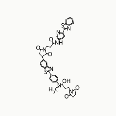 CN(c1ccc(-c2nc3cc(C4CC(=O)N(CCC(=O)Nc5ccc(-c6nc7ccccc7s6)nc5)C4=O)ccc3s2)cc1)C(O)CCN1C(=O)CCC1=O